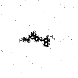 Cc1cc(COc2ccc(C[C@]3(c4ncon4)C[C@@H]3C(=O)NO)cc2)c2ccccc2n1